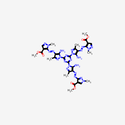 COC(=O)c1cn(C)nc1/N=N/c1c(C)nn(-c2nc(-n3nc(C)c(/N=N/c4c(C(=O)OC)cnn4C)c3N)nc(-n3nc(C)c(/N=N/c4c(C(=O)OC)cnn4C)c3N)n2)c1N